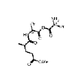 COC(=O)CCC(C)C(=O)N[C@H](C(=O)OC(=O)[C@@H](N)C(C)C)C(C)C